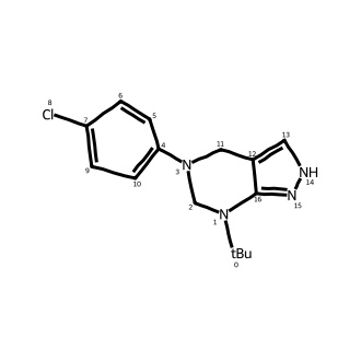 CC(C)(C)N1CN(c2ccc(Cl)cc2)Cc2c[nH]nc21